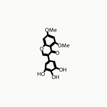 COc1cc(OC)c2c(=O)c(-c3cc(O)c(O)c(O)c3)coc2c1